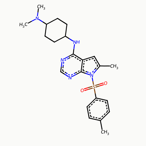 Cc1ccc(S(=O)(=O)n2c(C)cc3c(NC4CCC(N(C)C)CC4)ncnc32)cc1